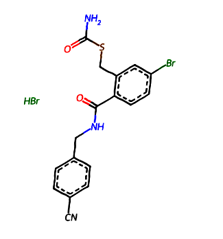 Br.N#Cc1ccc(CNC(=O)c2ccc(Br)cc2CSC(N)=O)cc1